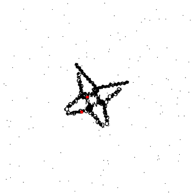 CCCCCCCCCCCCCCCCc1cc2c3nc4nc(nc5[nH]c(nc6nc(nc([nH]3)c2cc1CCCCCCCCCCCCCCCC)-c1cc(OCCOCCOCCOC)c(OCCOCCOCCOC)cc1-6)c1cc(OCCOCCOCCOC)c(OCCOCCOCCOC)cc51)-c1cc(OCCOCCOCCOC)c(OCCOCCOCCOC)cc1-4